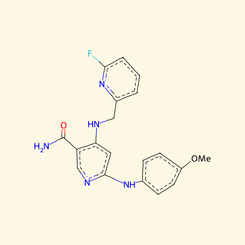 COc1ccc(Nc2cc(NCc3cccc(F)n3)c(C(N)=O)cn2)cc1